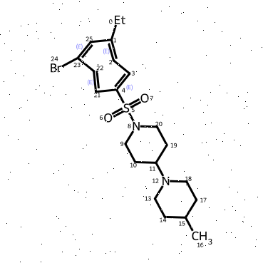 CCC1=C\C=C(S(=O)(=O)N2CCC(N3CCC(C)CC3)CC2)/C=C/C(Br)=C\1